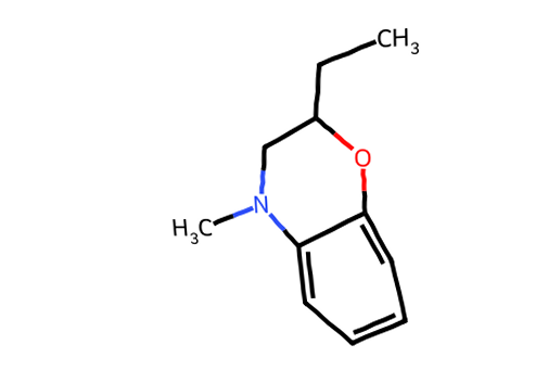 CCC1CN(C)c2ccccc2O1